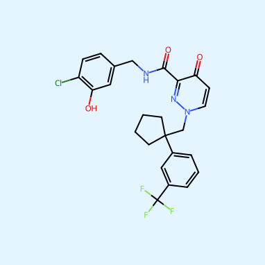 O=C(NCc1ccc(Cl)c(O)c1)c1nn(CC2(c3cccc(C(F)(F)F)c3)CCCC2)ccc1=O